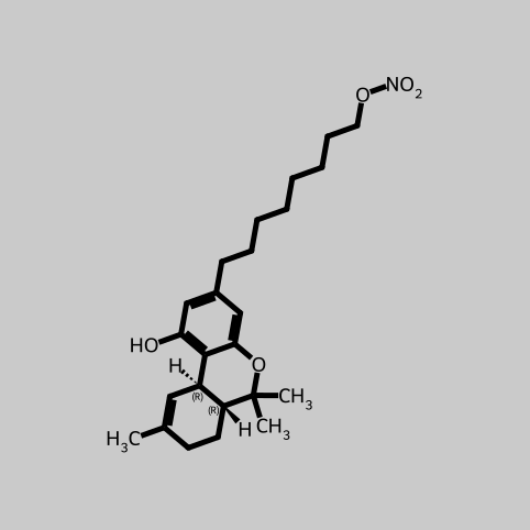 CC1=C[C@H]2c3c(O)cc(CCCCCCCCO[N+](=O)[O-])cc3OC(C)(C)[C@@H]2CC1